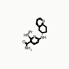 CC(C)Nc1nc(N[C@H]2CCc3ncccc3C2)ccc1C(N)=O